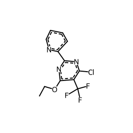 CCOc1nc(-c2ccccn2)nc(Cl)c1C(F)(F)F